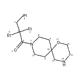 CCC(CC)(CC(C)C)C(=O)N1CCC2(CC1)CNCCO2